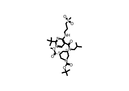 COC(=O)[C@@H]1C[C@H](N(CC(C)C)C(=O)c2cnc(C(C)(C)C)nc2NCCCS(C)(=O)=O)CN(C(=O)OC(C)(C)C)C1